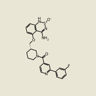 NC1=N[S+]([O-])Nc2cccc(OC[C@H]3CCCN(C(=O)c4ccnc(-c5cccc(F)c5)c4)C3)c21